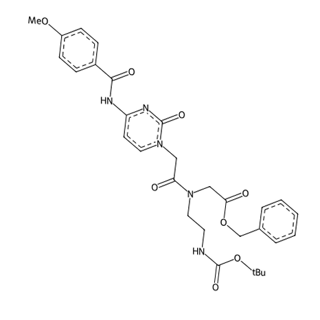 COc1ccc(C(=O)Nc2ccn(CC(=O)N(CCNC(=O)OC(C)(C)C)CC(=O)OCc3ccccc3)c(=O)n2)cc1